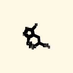 CC(C)Cc1c(F)nnn1C